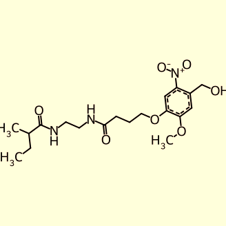 CCC(C)C(=O)NCCNC(=O)CCCOc1cc([N+](=O)[O-])c(CO)cc1OC